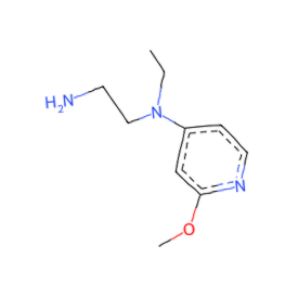 CCN(CCN)c1ccnc(OC)c1